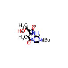 CC(C(=O)N1CCN(C(C)(C)C)CC1)[C@H]1NC(=O)[C@@H]1[C@@H](C)O